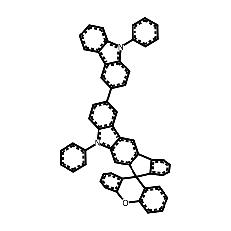 c1ccc(-n2c3ccccc3c3cc(-c4ccc5c(c4)c4cc6c(cc4n5-c4ccccc4)C4(c5ccccc5Oc5ccccc54)c4ccccc4-6)ccc32)cc1